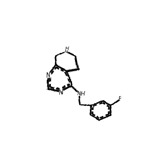 Fc1cccc(CNc2n[c]nc3c2CCNC3)c1